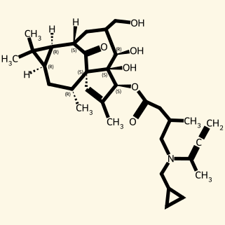 C=C=C(C)N(CC(C)CC(=O)O[C@H]1C(C)=C[C@]23C(=O)[C@@H](CC(CO)[C@@H](O)[C@]12O)[C@H]1[C@@H](C[C@H]3C)C1(C)C)CC1CC1